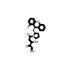 COc1ccccc1[C@@H](C[C@H]1CCCN1C(=O)/C=C(\O)C(=O)C=N)c1ccccc1F